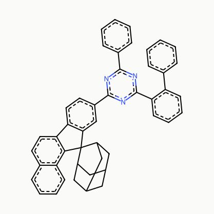 c1ccc(-c2nc(-c3ccc4c(c3)C3(c5c-4ccc4ccccc54)C4CC5CC(C4)CC3C5)nc(-c3ccccc3-c3ccccc3)n2)cc1